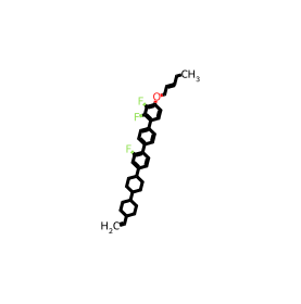 C=CC1CCC(C2CCC(c3ccc(-c4ccc(-c5ccc(OC/C=C/CC)c(F)c5F)cc4)c(F)c3)CC2)CC1